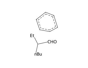 CCCCC(C=O)CC.c1ccccc1